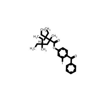 CCC(C)(CC)CC(C)(C(=O)Oc1ccc(C(=O)c2ccccc2)c(I)c1)C(C)(CC)CC